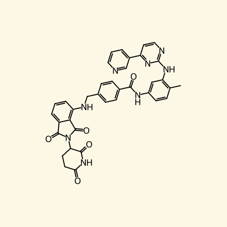 Cc1ccc(NC(=O)c2ccc(CNc3cccc4c3C(=O)N(C3CCC(=O)NC3=O)C4=O)cc2)cc1Nc1nccc(-c2cccnc2)n1